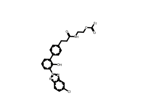 CCC(=O)OCCNC(=O)CCc1ccc(-c2cccc(-n3nc4ccc(Cl)cc4n3)c2O)cc1